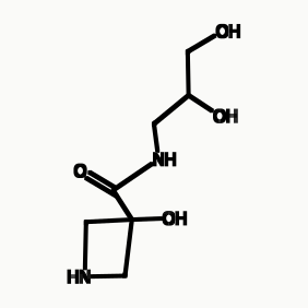 O=C(NCC(O)CO)C1(O)CNC1